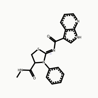 CNC(=O)C1CS/C(=N\C(=O)c2c[nH]c3ncccc23)N1c1ccccc1